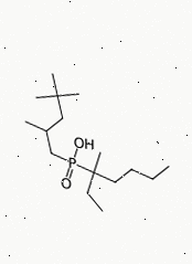 CCCCC(C)(CC)P(=O)(O)CC(C)CC(C)(C)C